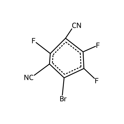 N#Cc1c(F)c(F)c(Br)c(C#N)c1F